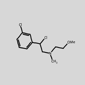 COCCN(C)CC(Cl)c1cccc(Cl)c1